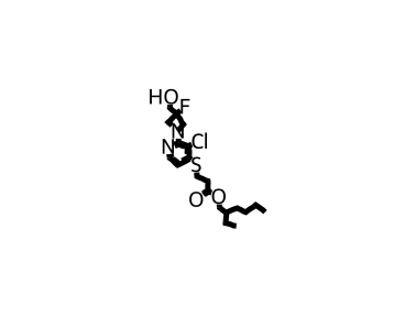 CCCCC(CC)COC(=O)CCSc1ccnc(N2CC(F)(CO)C2)c1Cl